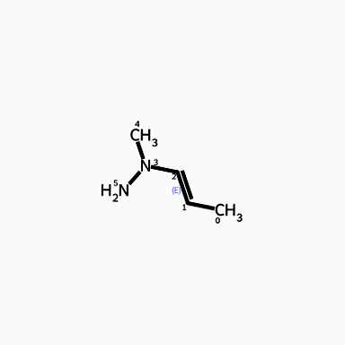 C/C=C/N(C)N